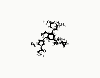 C=CC(=O)N1C[C@H](n2ncc3c(N4C[C@H](C)N[C@@H](C)C4)cc(S(=O)(=O)NC4(C)CC4)cc32)C[C@H]1CF